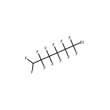 C[CH]C(F)(F)C(F)(F)C(F)(F)C(F)(F)C(F)(F)C(F)F